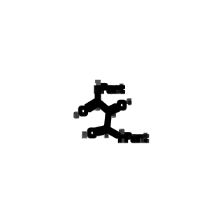 CCCCCC(=O)C(=O)C(=O)CCCCC